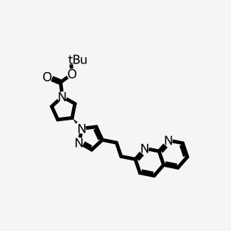 CC(C)(C)OC(=O)N1CC[C@@H](n2cc(CCc3ccc4cccnc4n3)cn2)C1